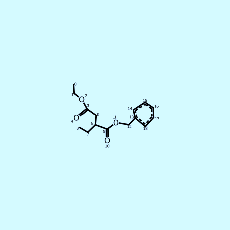 CCOC(=O)CC(CC)C(=O)OCc1ccccc1